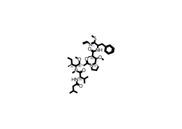 C=C/N=C(\SC)C(Cc1cc#ccc1)NC(=O)[C@H](C)[C@@H](OC)[C@@H]1CCCN1C(=O)C[C@@H](OC)[C@H]([C@@H](C)CC)N(C)C(=O)[C@@H](NC(=O)CC(C)C)C(C)C